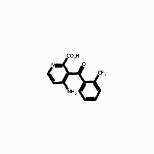 Nc1ccnc(C(=O)O)c1C(=O)c1ccccc1C(F)(F)F